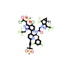 CC(C)(C#Cc1ccc(-c2ccc(Cl)c3c(C(C(=O)Cl)S(C)(=O)=O)nn(CC(F)(F)F)c23)c([C@H](Cc2cc(F)cc(F)c2)NC(=O)Cn2nc(C(F)(F)F)c3c2C(F)(F)C2C[C@H]32)n1)S(C)(=O)=O